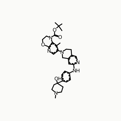 Cc1c(N2CCc3cnc(Nc4ccc(C5(O)CCN(C)CC5)cc4)cc3C2)cnc2c1N(C(=O)OC(C)(C)C)CCO2